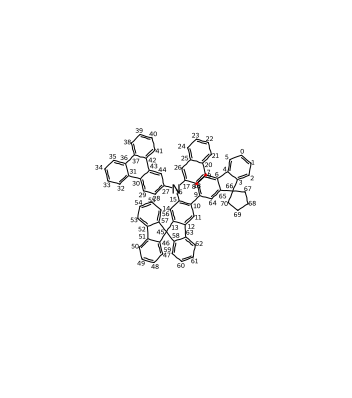 c1ccc2c(c1)-c1ccc(-c3cc4c(cc3N(c3ccc5ccccc5c3)c3ccc5c6ccccc6c6ccccc6c5c3)C3(c5ccccc5-c5ccccc53)c3ccccc3-4)cc1C21CCCC1